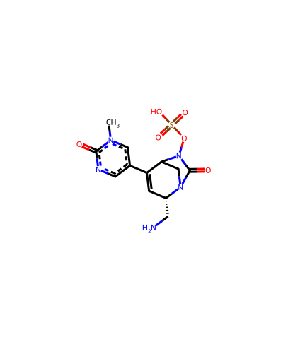 Cn1cc(C2=C[C@@H](CN)N3CC2N(OS(=O)(=O)O)C3=O)cnc1=O